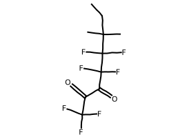 CCC(C)(C)C(F)(F)C(F)(F)C(=O)C(=O)C(F)(F)F